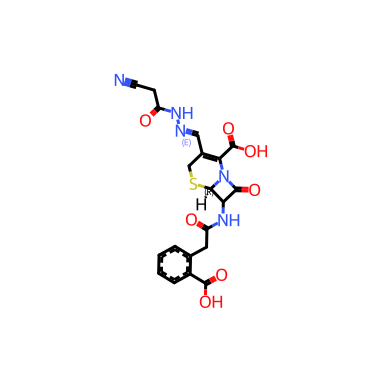 N#CCC(=O)N/N=C/C1=C(C(=O)O)N2C(=O)C(NC(=O)Cc3ccccc3C(=O)O)[C@H]2SC1